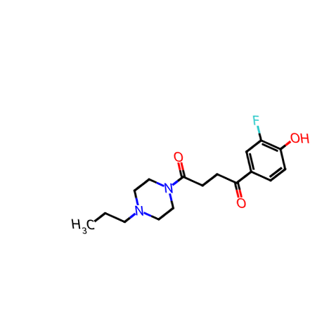 CCCN1CCN(C(=O)CCC(=O)c2ccc(O)c(F)c2)CC1